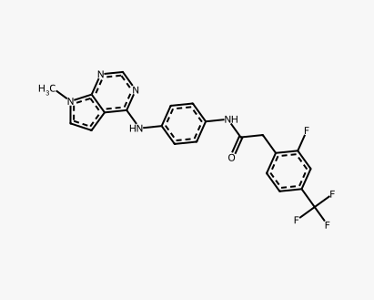 Cn1ccc2c(Nc3ccc(NC(=O)Cc4ccc(C(F)(F)F)cc4F)cc3)ncnc21